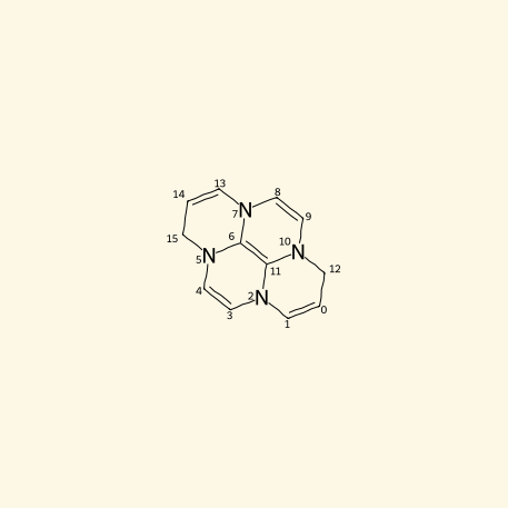 C1=Cn2ccn3c4n(ccn(c2=4)C1)C=CC3